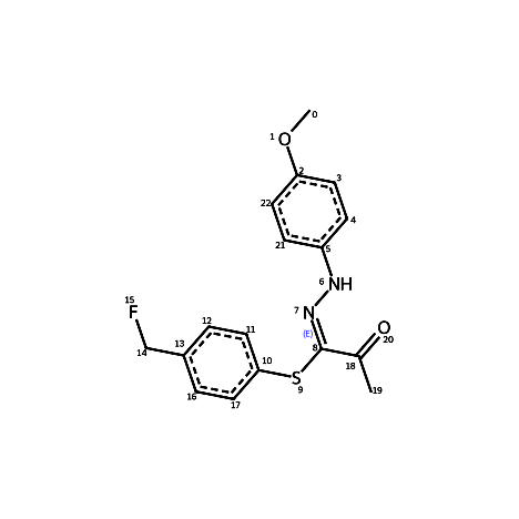 COc1ccc(N/N=C(/Sc2ccc(CF)cc2)C(C)=O)cc1